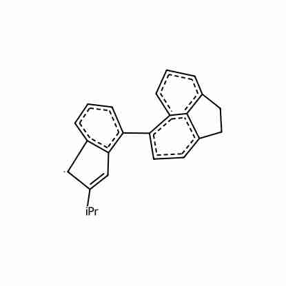 CC(C)C1=Cc2c(cccc2-c2ccc3c4c(cccc24)CC3)[CH]1